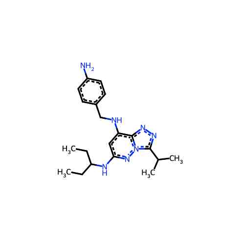 CCC(CC)Nc1cc(NCc2ccc(N)cc2)c2nnc(C(C)C)n2n1